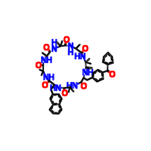 C=C1NC(Cc2ccc(C(=O)c3ccccc3)cc2)C(=O)NC(C)(C)C(=O)NC(Cc2ccc3ccccc3c2)C(=O)NC(C)(C)C(=O)NC(C)C(=O)NC(C)(C)C(=O)NC(C)C(=O)NC1(C)C